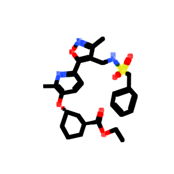 CCOC(=O)[C@H]1CCC[C@H](Oc2ccc(-c3onc(C)c3CNS(=O)(=O)Cc3ccccc3)nc2C)C1